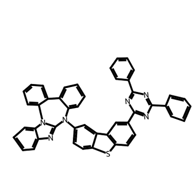 c1ccc(-c2nc(-c3ccccc3)nc(-c3ccc4sc5ccc(N6c7ccccc7-c7ccccc7-n7c6nc6ccccc67)cc5c4c3)n2)cc1